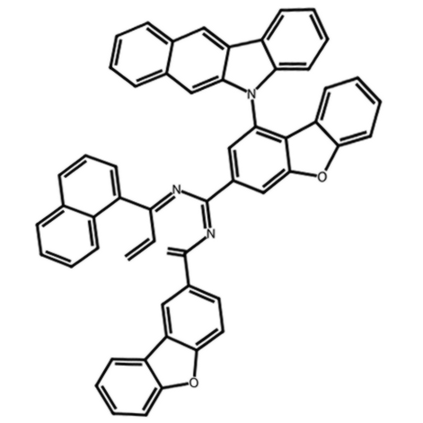 C=C/C(=N\C(=N/C(=C)c1ccc2oc3ccccc3c2c1)c1cc(-n2c3ccccc3c3cc4ccccc4cc32)c2c(c1)oc1ccccc12)c1cccc2ccccc12